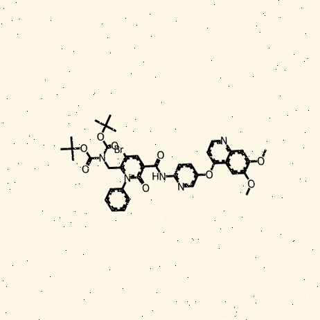 COc1cc2nccc(Oc3ccc(NC(=O)c4cc(Br)c(CN(C(=O)OC(C)(C)C)C(=O)OC(C)(C)C)n(-c5ccccc5)c4=O)nc3)c2cc1OC